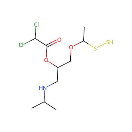 CC(C)NCC(COC(C)SS)OC(=O)C(Cl)Cl